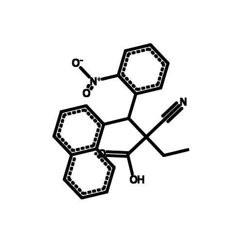 CCC(C#N)(C(=O)O)C(c1ccccc1[N+](=O)[O-])c1cccc2ccccc12